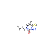 CCCCn1cc(C)c(=S)[nH]c1=O